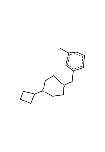 Cc1cccc(CN2CCN(C3CCC3)CC2)c1